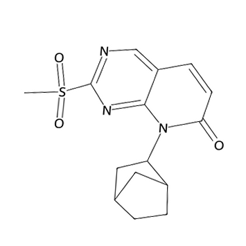 CS(=O)(=O)c1ncc2ccc(=O)n(C3CC4CCC3C4)c2n1